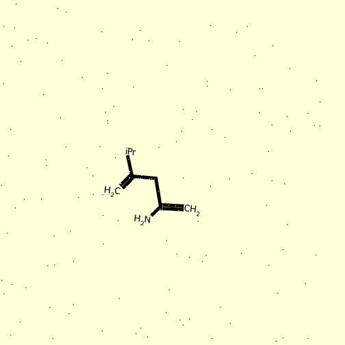 C=C(N)CC(=C)C(C)C